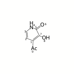 CC(=O)c1cc[nH]c(=O)c1O